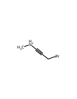 C[SiH2]C#CCC(C)C